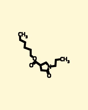 CCCCCCOC(=O)C1CC(=O)N(CCC)C1